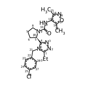 CCc1nnc([C@H]2CCCN2C(=O)Nc2c(C)noc2C)n1Cc1ccc(Cl)cc1